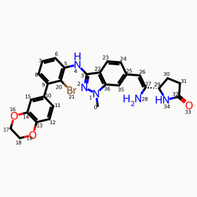 Cn1nc(Nc2cccc(-c3ccc4c(c3)OCCO4)c2Br)c2ccc(C=C(N)[C@@H]3CCC(=O)N3)cc21